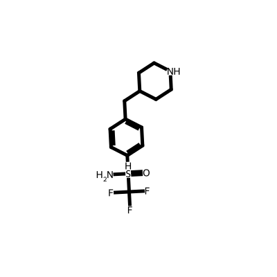 N[SH](=O)(c1ccc(CC2CCNCC2)cc1)C(F)(F)F